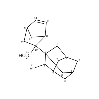 CCC1C2CC3CC(C2)CC1(C1(C(=O)O)CC2C=CC1C2)C3